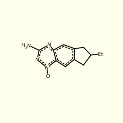 CCC1Cc2cc3nc(N)n[n+]([O-])c3cc2C1